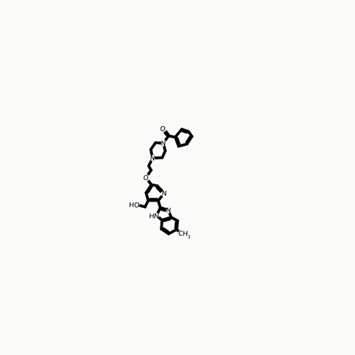 Cc1ccc2[nH]c(-c3ncc(OCCN4CCN(C(=O)c5ccccc5)CC4)cc3CO)nc2c1